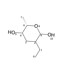 CCC1CC(O)[C@H](C)OC1O